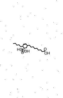 CCCCCC1C=CC(CCCCCCCCC(=O)O)CC1P(=O)(O)O